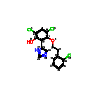 Oc1c(Cl)cc(Cl)c(OCCc2ccccc2Cl)c1-c1cnc[nH]1